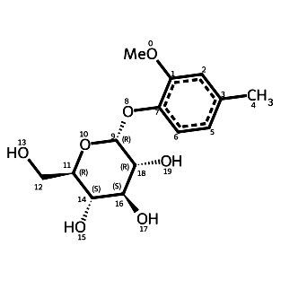 COc1cc(C)ccc1O[C@H]1O[C@H](CO)[C@@H](O)[C@H](O)[C@H]1O